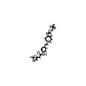 Cc1ncc(CC(=O)N[C@H]2CC[C@H](CCN3CCc4nc(OCC(F)(F)F)sc4CC3)CC2)o1